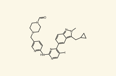 Cn1nc2ccc(-c3nc(Nc4ccc(CN5CCN(C=O)CC5)cn4)ncc3I)cc2c1CC1CC1